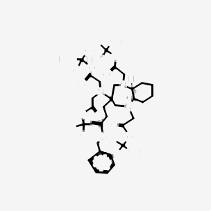 CC(C)(C)OC(=O)CN1CC(CCC(=O)OCc2ccccc2)(N(CC(=O)OC(C)(C)C)CC(=O)OC(C)(C)C)CN(CC(=O)OC(C)(C)C)[C@@H]2CCCC[C@H]21